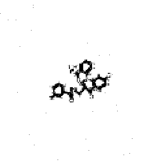 COC(=O)Oc1c(CNC(=O)c2cccc(F)c2)c(=O)c2ccc(Cl)cc2n1-c1ccccc1